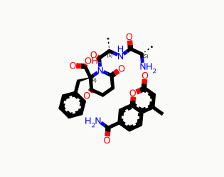 C[C@H](N)C(=O)N[C@@H](C)C(=O)N1C(=O)CCC(=O)[C@]1(Cc1ccccc1)C(=O)O.Cc1cc(=O)oc2cc(C(N)=O)ccc12